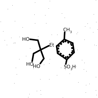 CCC(CO)(CO)CO.Cc1ccc(S(=O)(=O)O)cc1